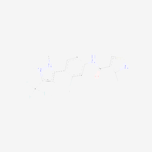 Cc1nscc1C(=O)Nc1ccc(-c2cc(C(F)(F)F)nn2C)c(F)c1